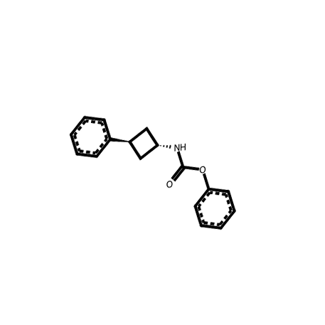 O=C(N[C@H]1C[C@H](c2ccccc2)C1)Oc1ccccc1